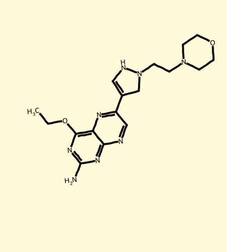 CCOc1nc(N)nc2ncc(C3=CNN(CCN4CCOCC4)C3)nc12